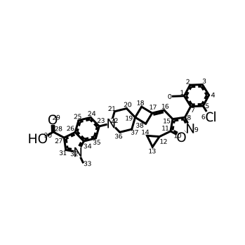 Cc1cccc(Cl)c1-c1noc(C2CC2)c1C=C1CC2(CCN(c3ccc4c(C(=O)O)cn(C)c4c3)CC2)C1